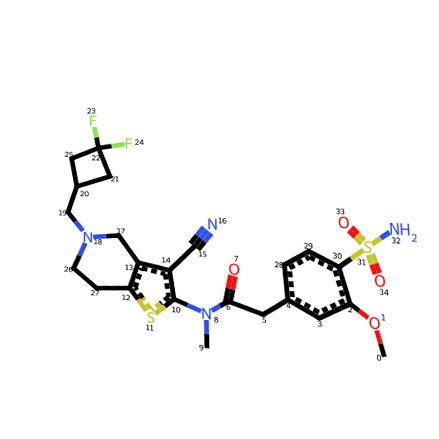 COc1cc(CC(=O)N(C)c2sc3c(c2C#N)CN(CC2CC(F)(F)C2)CC3)ccc1S(N)(=O)=O